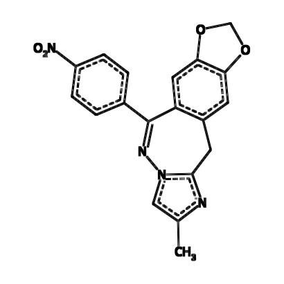 Cc1cn2c(n1)Cc1cc3c(cc1C(c1ccc([N+](=O)[O-])cc1)=N2)OCO3